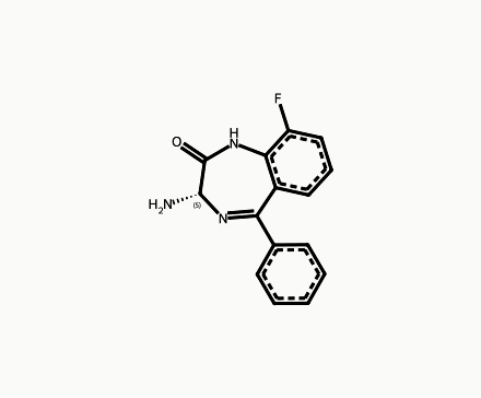 N[C@H]1N=C(c2ccccc2)c2cccc(F)c2NC1=O